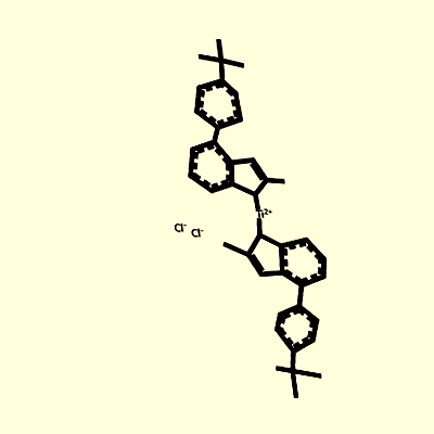 CC1=Cc2c(-c3ccc(C(C)(C)C)cc3)cccc2[CH]1[Ti+2][CH]1C(C)=Cc2c(-c3ccc(C(C)(C)C)cc3)cccc21.[Cl-].[Cl-]